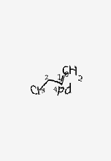 C=CCCl.[Pd]